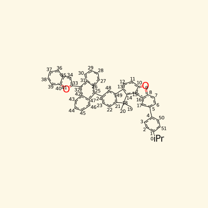 CC(C)c1ccc(-c2ccc3oc4ccc5c(c4c3c2)C(C)(C)c2ccc(-c3c4ccccc4c(-c4cc6ccccc6o4)c4ccccc34)cc2-5)cc1